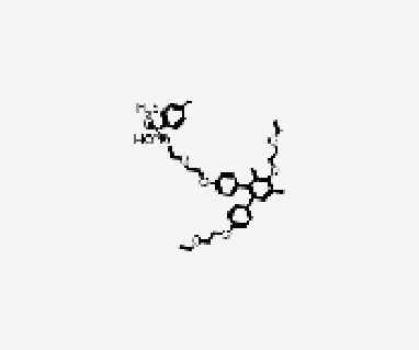 C=COCCOc1ccc(-c2cc(C)c(OCCOC=C)c(C)c2-c2ccc(OCCOC=C)cc2)cc1.Cc1ccc(S(=O)(=O)O)cc1.S